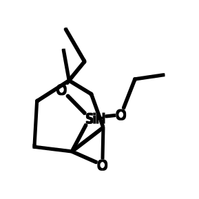 CCO[SiH](OCC)C12CCC(C)CC1O2